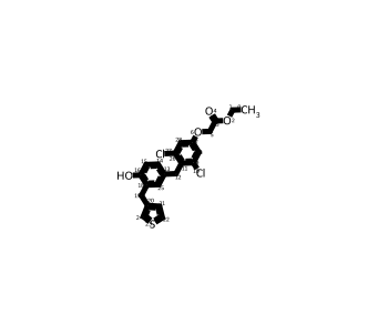 CCOC(=O)COc1cc(Cl)c(Cc2ccc(O)c(Cc3ccsc3)c2)c(Cl)c1